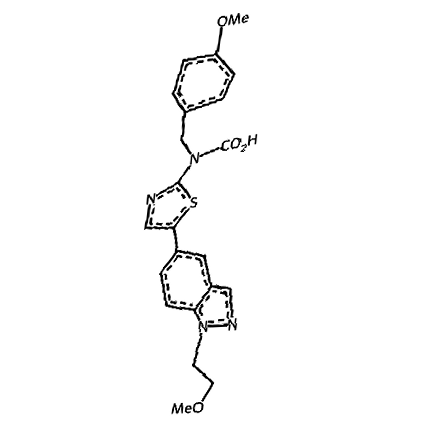 COCCn1ncc2cc(-c3cnc(N(Cc4ccc(OC)cc4)C(=O)O)s3)ccc21